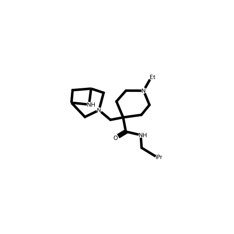 CCN1CCC(CN2CC3CC(C2)N3)(C(=O)NCC(C)C)CC1